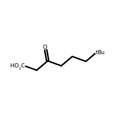 CC(C)(C)CCCC(=O)CC(=O)O